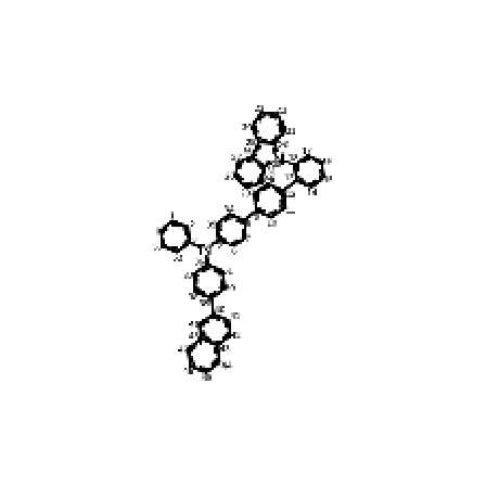 c1ccc(N(c2ccc(-c3ccc(-c4ccccc4-n4c5ccccc5c5ccccc54)cc3)cc2)c2ccc(-c3ccc4ccccc4c3)cc2)cc1